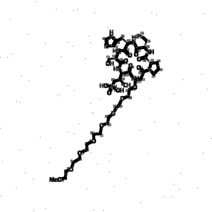 COCCOCCOCCOCCOCCOCCOCCOCCC(=O)N1CCC[C@H]1C(=O)N[C@@H](CC(C)C)C(=O)N[C@@H](Cc1cnc[nH]1)C(=O)N[C@@H](CO)C(=O)N[C@H](C(N)=O)[C@@H](C)CP(=O)(O)O